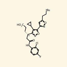 CC(C)(C)CCc1cc(-c2onc([C@@H](CCC(=O)O)CC(=O)Nc3ccc(F)cc3Cl)c2C2CC2)no1